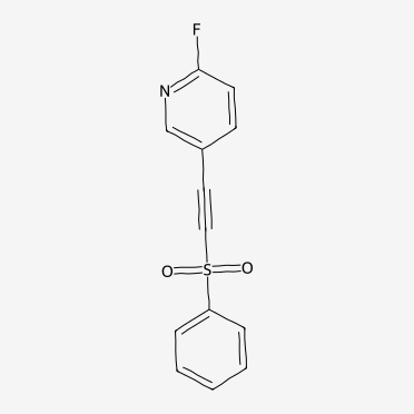 O=S(=O)(C#Cc1ccc(F)nc1)c1ccccc1